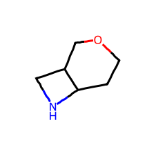 C1CC2NCC2CO1